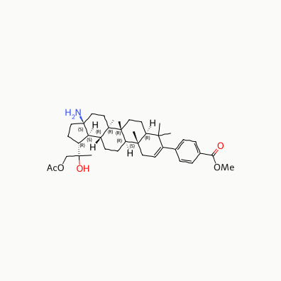 COC(=O)c1ccc(C2=CC[C@]3(C)[C@H]4CC[C@@H]5[C@H]6[C@H](C(C)(O)COC(C)=O)CC[C@]6(N)CC[C@@]5(C)[C@]4(C)CC[C@H]3C2(C)C)cc1